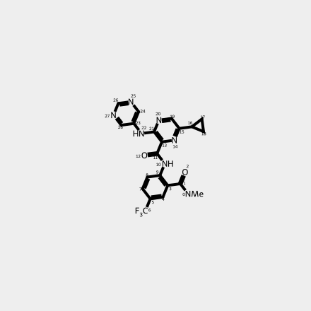 CNC(=O)c1cc(C(F)(F)F)ccc1NC(=O)c1nc(C2CC2)cnc1Nc1cncnc1